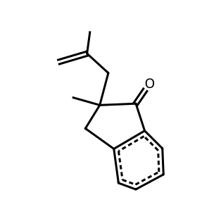 C=C(C)CC1(C)Cc2ccccc2C1=O